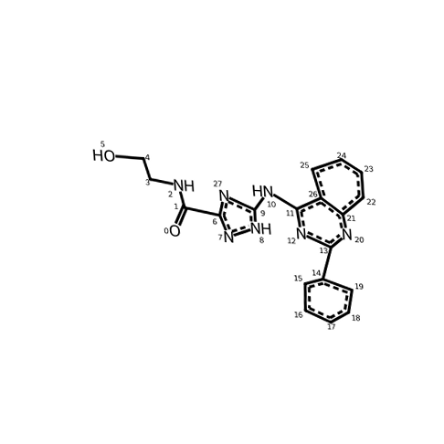 O=C(NCCO)c1n[nH]c(Nc2nc(-c3ccccc3)nc3ccccc23)n1